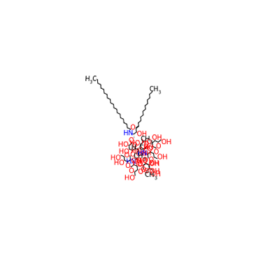 CCCCCCCCCCCCC/C=C/[C@@H](O)[C@H](CO[C@@H]1OC(CO)[C@@H](O[C@@H]2OC(CO)[C@H](O)[C@H](O[C@@H]3OC(CO)[C@@H](O[C@@H]4OC(CO)[C@H](O)[C@H](O[C@@H]5OC(CO)[C@@H](O[C@@H]6OC(CO)[C@H](O)[C@H](O)C6O)[C@H](O[C@H]6OC(C)[C@@H](O)C(O)[C@@H]6O)C5NC(C)=O)C4O)[C@H](O[C@H]4OC(C)[C@@H](O)C(O)[C@@H]4O)C3NC(C)=O)C2O)[C@H](O)C1O)NC(=O)CCCCCCCCCCCCCCCCCCCCC